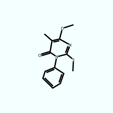 COc1nc(SC)n(-c2ccccc2)c(=O)c1C